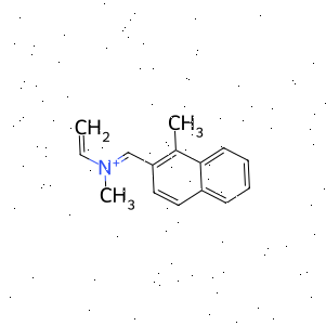 C=C/[N+](C)=C/c1ccc2ccccc2c1C